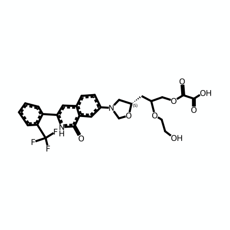 O=C(O)C(=O)OCC(C[C@H]1CN(c2ccc3cc(-c4ccccc4C(F)(F)F)[nH]c(=O)c3c2)CO1)OCCO